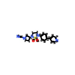 N#CN1CC[C@@H](N2CCN(c3ccc(-c4ccncc4)cc3)S2(=O)=O)C1